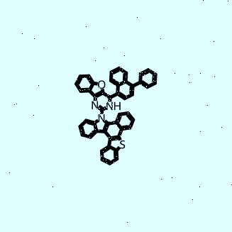 c1ccc(-c2ccc(C3NC(n4c5ccccc5c5c6c7ccccc7sc6c6ccccc6c54)=Nc4c3oc3ccccc43)c3ccccc23)cc1